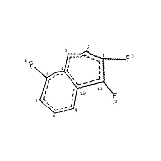 Fc1ccc2c(F)cc[c]c2c1F